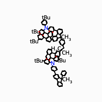 CC(C)(C)c1ccc(N(c2ccc(-c3cccc4c3-c3ccccc3C4(C)c3ccc(CC(C)(C)c4cc(-c5cccc6cccc(-c7ccccc7N(c7ccc(-c8ccc9c(c8)C(C)(c8ccccc8)c8ccccc8-9)cc7)c7ccc(C(C)(C)C)cc7)c56)cc(C(C)(C)C)c4)cc3)cc2)c2ccccc2-c2cccc3cccc(-c4cc(C(C)(C)C)cc(C(C)(C)C)c4)c23)cc1